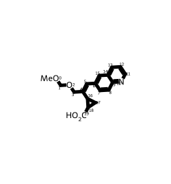 COCOC/C(=C/c1ccc2ncccc2c1)C1CC1C(=O)O